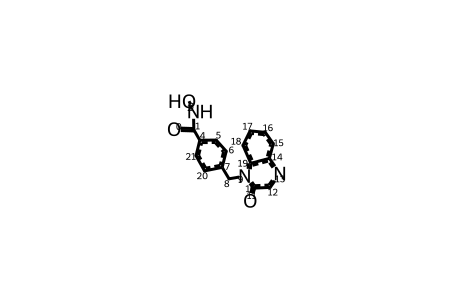 O=C(NO)c1ccc(Cn2c(=O)cnc3ccccc32)cc1